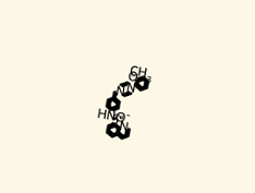 COc1ccccc1N1CCN(Cc2ccc(N[S+]([O-])c3cccc4cccnc34)cc2)CC1